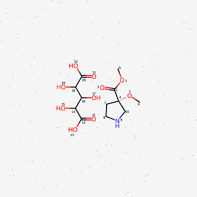 COC(=O)[C@]1(OC)CCNC1.O=C(O)C(O)C(O)C(O)C(=O)O